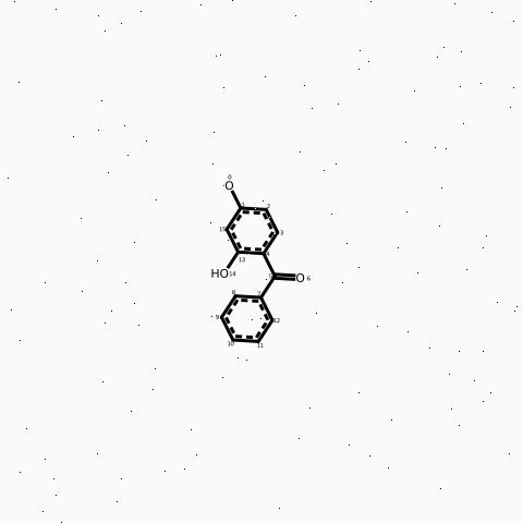 [O]c1ccc(C(=O)c2ccccc2)c(O)c1